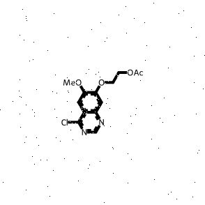 COc1cc2c(Cl)ncnc2cc1OCCOC(C)=O